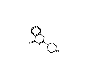 O=C1N=C(N2CCNCC2)Cc2ccccc21